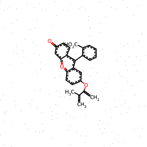 C=C(C)C(=C)Oc1ccc2oc3cc(=O)ccc-3c(-c3ccccc3C(=O)O)c2c1